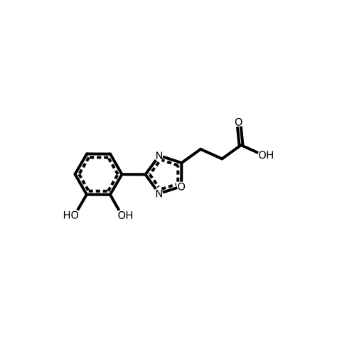 O=C(O)CCc1nc(-c2cccc(O)c2O)no1